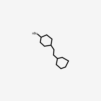 CCCCC1CCC(CCC2CCCCC2)CC1